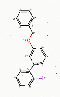 Ic1ccccc1-c1cccc(OCc2ccccc2)c1